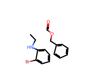 CCNc1ccccc1Br.O=COCc1ccccc1